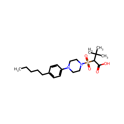 CCCCCc1ccc(N2CCN(S(=O)(=O)C(C(=O)O)C(C)(C)C)CC2)cc1